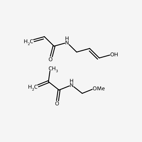 C=C(C)C(=O)NCOC.C=CC(=O)NCC=CO